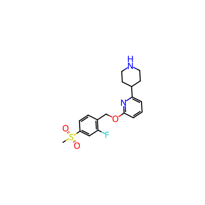 CS(=O)(=O)c1ccc(COc2cccc(C3CCNCC3)n2)c(F)c1